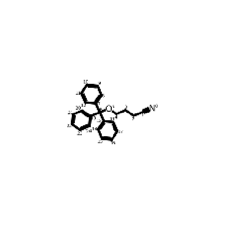 N#CCCCOC(c1ccccc1)(c1ccccc1)c1ccccc1